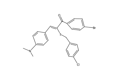 CN(C)c1ccc(C=C(SCc2ccc(Cl)cc2)C(=O)c2ccc(Br)cc2)cc1